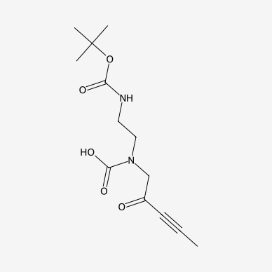 CC#CC(=O)CN(CCNC(=O)OC(C)(C)C)C(=O)O